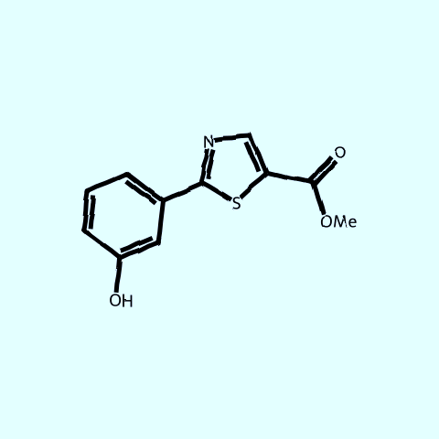 COC(=O)c1cnc(-c2cccc(O)c2)s1